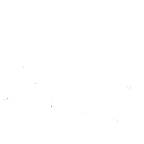 Cl.O=C(COc1ccc(Cl)cc1)NCC1CNCC1OC(=O)COc1ccc(Cl)cc1